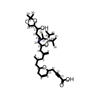 C=C(CC(C)CC1CC=CC(CC#CC(=O)O)O1)CC(/C=C/CC(O)C1COC(C)(C)O1)O[Si](C(C)C)(C(C)C)C(C)C